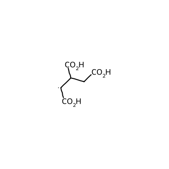 O=C(O)[CH]C(CC(=O)O)C(=O)O